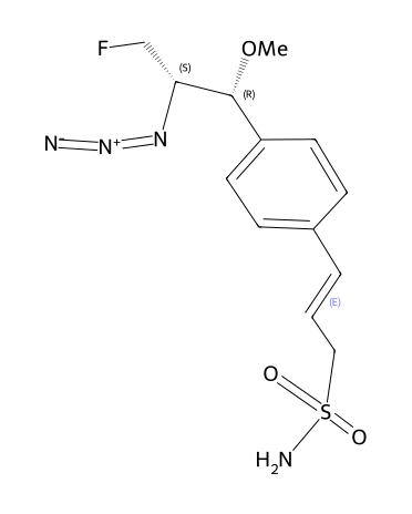 CO[C@H](c1ccc(/C=C/CS(N)(=O)=O)cc1)[C@@H](CF)N=[N+]=[N-]